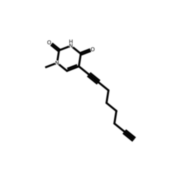 C#CCCCCC#Cc1cn(C)c(=O)[nH]c1=O